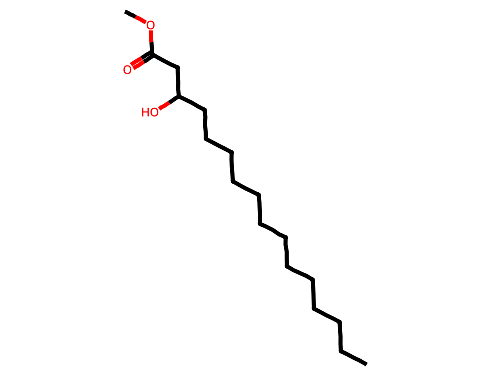 CCCCCCCCCCCCCC(O)CC(=O)OC